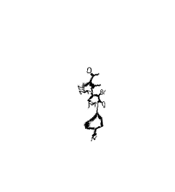 CC(=O)c1nnn(-c2cnn(-c3ccc(C#N)cc3)c(=O)c2Br)c1C